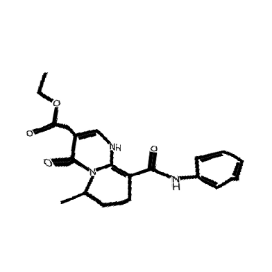 CCOC(=O)C1=CNC2=C(C(=O)Nc3ccccc3)CCC(C)N2C1=O